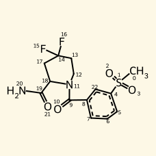 CS(=O)(=O)c1cccc(C(=O)N2CCC(F)(F)CC2C(N)=O)c1